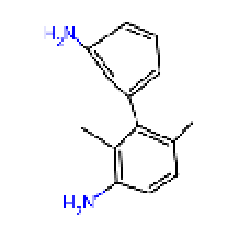 Cc1ccc(N)c(C)c1-c1cccc(N)c1